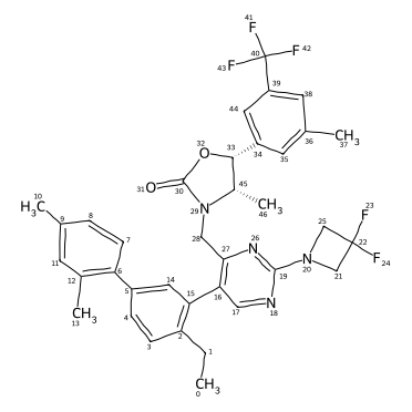 CCc1ccc(-c2ccc(C)cc2C)cc1-c1cnc(N2CC(F)(F)C2)nc1CN1C(=O)O[C@H](c2cc(C)cc(C(F)(F)F)c2)[C@@H]1C